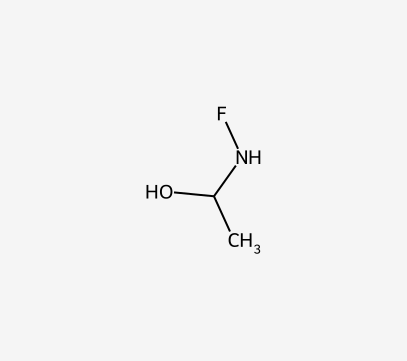 CC(O)NF